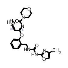 C=C(/N=C(\C=C/N)Oc1ccccc1CNC(=O)Nc1nc(C)co1)N1CCOCC1